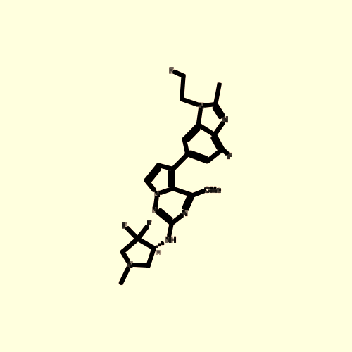 COc1nc(N[C@@H]2CN(C)CC2(F)F)nn2ccc(-c3cc(F)c4nc(C)n(CCF)c4c3)c12